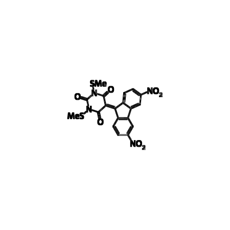 CSN1C(=O)C(=C2c3ccc([N+](=O)[O-])cc3-c3cc([N+](=O)[O-])ccc32)C(=O)N(SC)C1=O